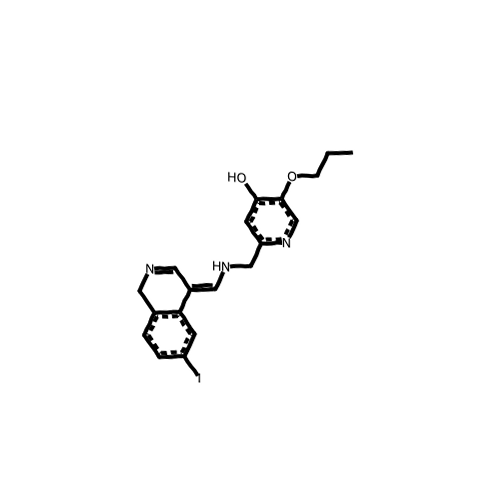 CCCOc1cnc(CNC=C2C=NCc3ccc(I)cc32)cc1O